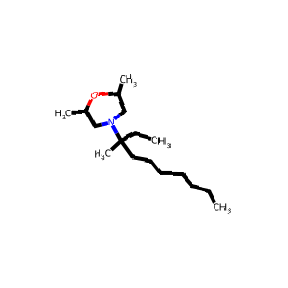 CCCCCCCC(C)(CC)N1CC(C)OC(C)C1